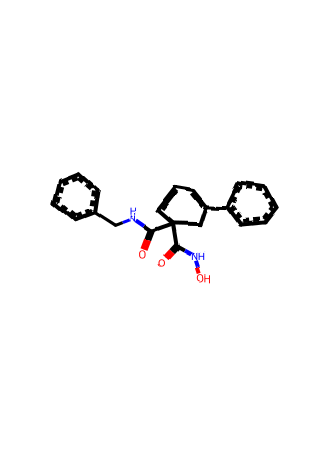 O=C(NO)C1(C(=O)NCc2ccccc2)C=CC=C(c2ccccc2)C1